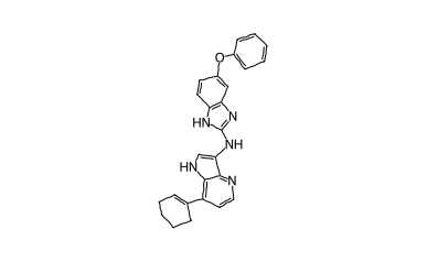 C1=C(c2ccnc3c(Nc4nc5cc(Oc6ccccc6)ccc5[nH]4)c[nH]c23)CCCC1